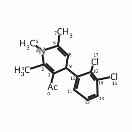 CC(=O)C1=C(C)N(C)C(C)=[C]C1c1cccc(Cl)c1Cl